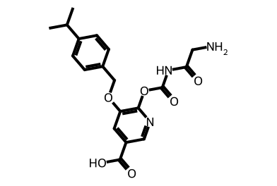 CC(C)c1ccc(COc2cc(C(=O)O)cnc2OC(=O)NC(=O)CN)cc1